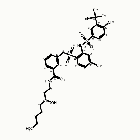 CCCCCN(O)CCNC(=O)c1cccc(CS(=O)(=O)c2ccc(Cl)cc2NS(=O)(=O)c2ccc(Cl)c(C(F)(F)F)c2)c1